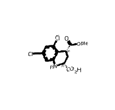 COC(=O)[C@@H]1C[C@H](C(=O)O)Nc2cc(Cl)cc(Cl)c21